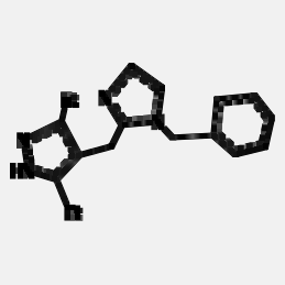 CCc1n[nH]c(CC)c1Cc1nccn1Cc1ccccc1